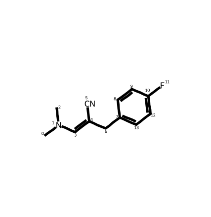 CN(C)/C=C(\C#N)Cc1ccc(F)cc1